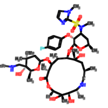 CCCNC[C@]1(O)[C@H](C)OC(O[C@H]2[C@H](C)[C@@H](O[C@@H]3O[C@H](C)C[C@H](N(C)S(=O)(=O)c4nccn4C)[C@H]3Oc3ccc(F)cc3)[C@](C)(O)C[C@@H](C)CN[C@H](C)[C@@H](O)[C@](C)(O)[C@@H](CC)OC(=O)[C@@H]2C)C[C@@]1(C)OC